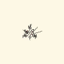 CCCCCCCc1ccc(C(c2ccc(F)nc2)(C(Cc2ccc(F)nc2)c2ccc(CCCC)cc2)C(C(Cc2ccc(F)nc2)c2ccc(CC)cc2)C(Cc2ccc(F)nc2)c2ccc(CCC)cc2)cc1